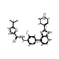 CC(C)c1nnc(C(=O)NCc2ccc(-c3ccnc4[nH]c(C5=CCNCC5)nc34)cc2F)o1